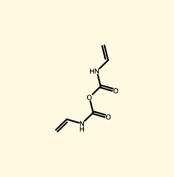 C=CNC(=O)OC(=O)NC=C